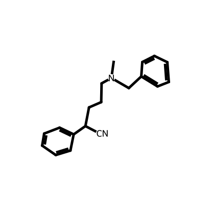 CN(CCCC(C#N)c1ccccc1)Cc1ccccc1